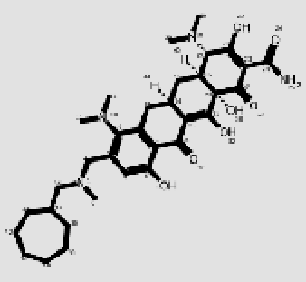 CN(Cc1cc(O)c2c(c1N(C)C)C[C@H]1C[C@H]3[C@H](N(C)C)C(O)=C(C(N)=O)C(=O)[C@@]3(O)C(O)=C1C2=O)CC1CCCCCC1